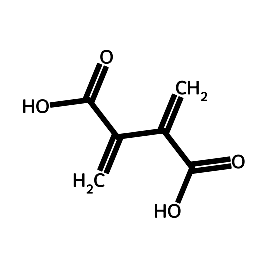 C=C(C(=C)C(=O)O)C(=O)O